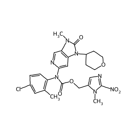 Cc1cc(Cl)ccc1N(C(=O)OCc1cnc([N+](=O)[O-])n1C)c1cc2c(cn1)n(C)c(=O)n2C1CCOCC1